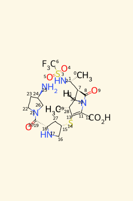 C[C@@H](NS(=O)(=O)C(F)(F)F)[C@H]1C(=O)N2C(C(=O)O)=C(S[C@@H]3CN[C@H](C(=O)N4CC[C@@H](N)C4)C3)[C@H](C)[C@H]12